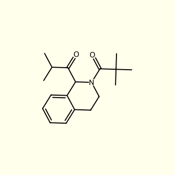 CC(C)C(=O)C1c2ccccc2CCN1C(=O)C(C)(C)C